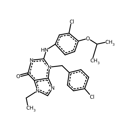 CCn1cnc2c1c(=O)nc(Nc1ccc(OC(C)C)c(Cl)c1)n2Cc1ccc(Cl)cc1